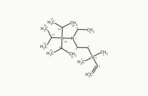 C=C[Si](C)(C)CCN(CC)[Si](C(C)C)(C(C)C)C(C)C